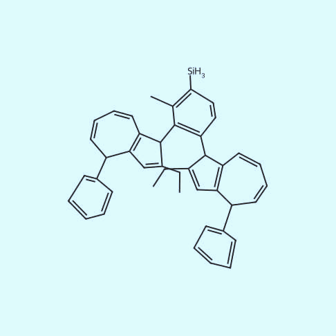 CCC1=CC2=C(C=CC=CC2c2ccccc2)C1c1ccc([SiH3])c(C)c1C1C(CC)=CC2=C1C=CC=CC2c1ccccc1